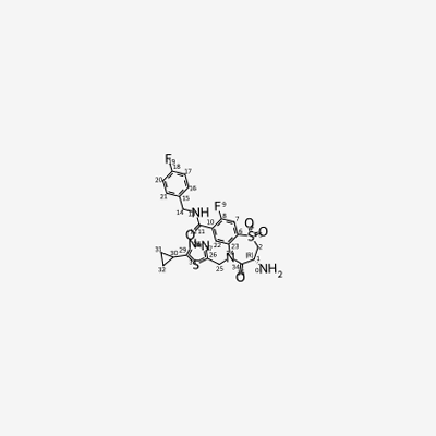 N[C@H]1CS(=O)(=O)c2cc(F)c(C(=O)NCc3ccc(F)cc3)cc2N(Cc2nnc(C3CC3)s2)C1=O